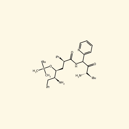 CC[C@H](C)[C@H](N)C(=O)C(NC(=O)[C@@H](C[C@H](O[Si](C)(C)C(C)(C)C)[C@@H](N)CC(C)C)C(C)C)c1ccccn1